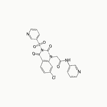 O=C(Cn1c(=O)n(S(=O)(=O)c2cccnc2)c(=O)c2ccc(Cl)cc21)Nc1cccnc1